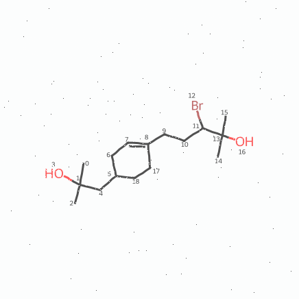 CC(C)(O)CC1CC=C(CCC(Br)C(C)(C)O)CC1